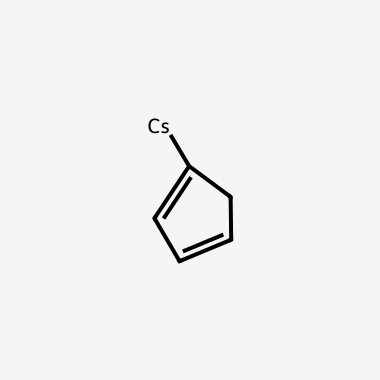 [Cs][C]1=CC=CC1